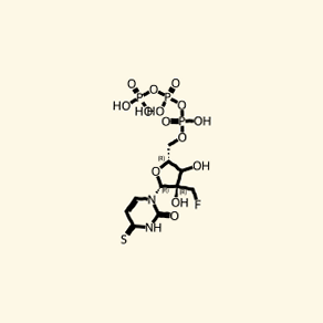 O=c1[nH]c(=S)ccn1[C@@H]1O[C@H](COP(=O)(O)OP(=O)(O)OP(=O)(O)O)C(O)[C@]1(O)CF